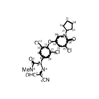 CNC(=O)N(/N=C(/C#N)C=O)c1cc(Cl)c(Oc2cc(Cl)c(=O)n(C3CCCC3)c2)c(Cl)c1